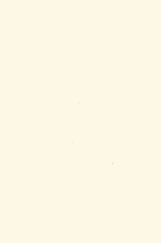 COC(=O)C1(c2ccccc2)C=CC(F)(C(C)=O)C=C1